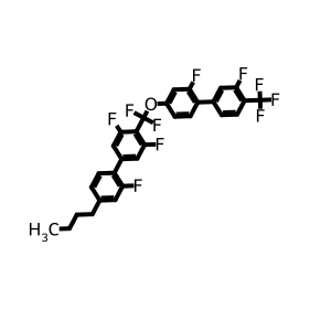 CCCCc1ccc(-c2cc(F)c(C(F)(F)Oc3ccc(-c4ccc(C(F)(F)F)c(F)c4)c(F)c3)c(F)c2)c(F)c1